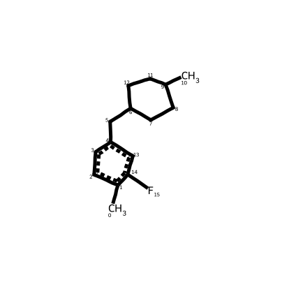 Cc1ccc(CC2CCC(C)CC2)cc1F